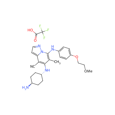 COCCOc1ccc(Nc2c(C)c(N[C@H]3CC[C@H](N)CC3)c(C#N)c3ccnn23)cc1.O=C(O)C(F)(F)F